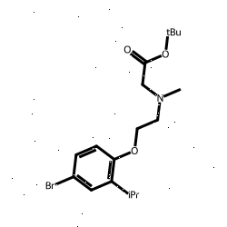 CC(C)c1cc(Br)ccc1OCCN(C)CC(=O)OC(C)(C)C